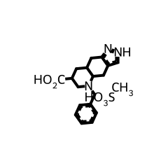 CS(=O)(=O)O.O=C(O)C1CC2Cc3n[nH]cc3CC2N(Cc2ccccc2)C1